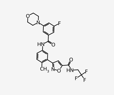 Cc1ccc(NC(=O)c2cc(F)cc(N3CCOCC3)c2)cc1-c1cc(C(=O)NCC(F)(F)F)on1